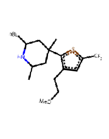 CCCCC1CC(C)(c2sc(C(F)(F)F)cc2CCOC)CC(C)N1